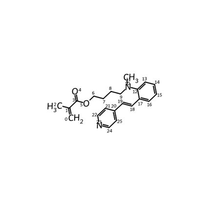 C=C(C)C(=O)OCCCCN(C)c1ccccc1C=Cc1ccncc1